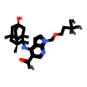 CC(=O)c1cnc2c(ccn2COCC[Si](C)(C)C)c1N[C@@H]1[C@@H]2C[C@@H]3C[C@H]1C[C@@](O)(C3)C2